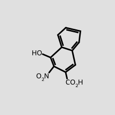 O=C(O)c1cc2ccccc2c(O)c1[N+](=O)[O-]